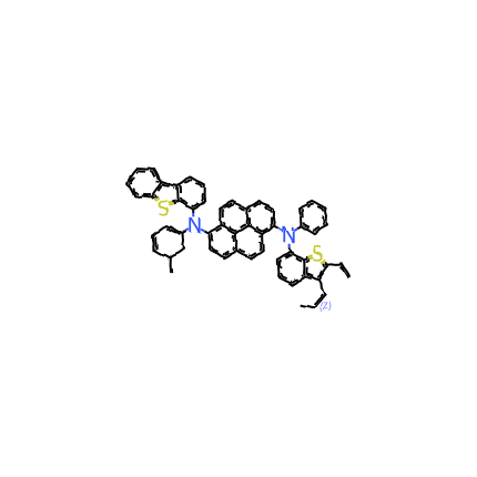 C=Cc1sc2c(N(c3ccccc3)c3ccc4ccc5c(N(C6=CC=CC(C)C6)c6cccc7c6sc6ccccc67)ccc6ccc3c4c65)cccc2c1/C=C\C